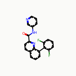 O=C(Nc1cccnc1)c1ccc2cccc(-c3c(F)cccc3F)c2n1